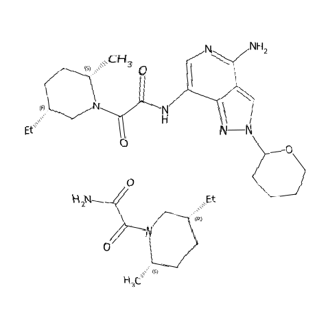 CC[C@@H]1CC[C@H](C)N(C(=O)C(=O)Nc2cnc(N)c3cn(C4CCCCO4)nc23)C1.CC[C@@H]1CC[C@H](C)N(C(=O)C(N)=O)C1